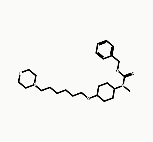 CN(C(=O)OCc1ccccc1)C1CCC(OCCCCCCN2CCOCC2)CC1